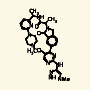 CN/C=C(\N=N)Nc1ncc(Cl)c(-c2ccc3c(c2)C(=O)N([C@H](C)C(=O)NC(C)c2cccc(N4CCN(C)CC4)n2)C3)n1